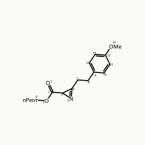 CCCCCOC(=O)C1N=C1CCc1ccc(OC)cc1